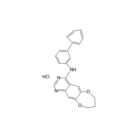 Cl.c1ccc(-c2cccc(Nc3ncnc4cc5c(cc34)OCCCO5)c2)cc1